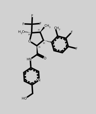 Cc1c([C@@H]2[C@@H](C(=O)Nc3ccc(CO)nc3)O[C@@](C)(C(F)(F)F)[C@H]2C)ccc(F)c1F